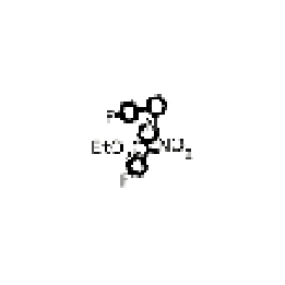 CCOC(=O)C1(C(C[N+](=O)[O-])c2ccc(F)cc2)CCN(C2CCCCC2c2ccc(F)cc2)CC1